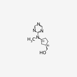 CN(c1ncncn1)[C@H]1CC[C@@H](CO)C1